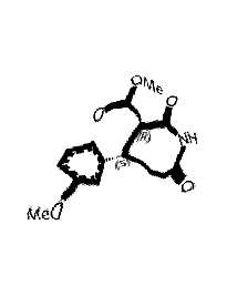 COC(=O)[C@H]1C(=O)NC(=O)C[C@@H]1c1cccc(OC)c1